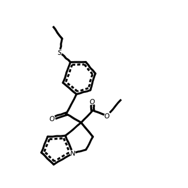 CCSc1cccc(C(=O)C2(C(=O)OC)CCn3cccc32)c1